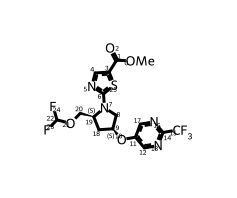 COC(=O)c1cnc(N2C[C@@H](Oc3cnc(C(F)(F)F)nc3)C[C@H]2COC(F)F)s1